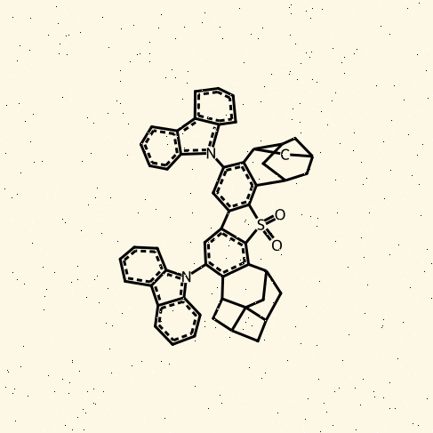 O=S1(=O)c2c(cc(-n3c4ccccc4c4ccccc43)c3c2C2CC4CC(C2)C3C4)-c2cc(-n3c4ccccc4c4ccccc43)c3c(c21)C1CC2CC4CC3C24C1